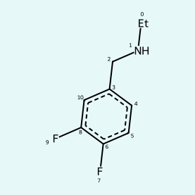 CCNCc1ccc(F)c(F)c1